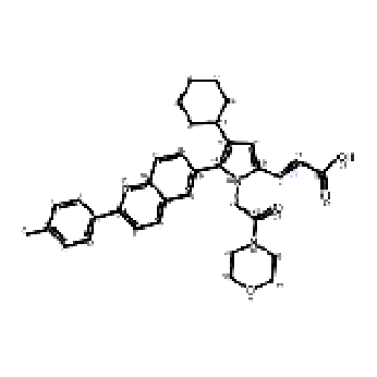 Cc1ccc(-c2ccc3cc(-c4c(C5CCCCC5)cc(/C=C/C(=O)O)n4CC(=O)N4CCOCC4)ccc3n2)cc1